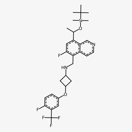 CC(O[Si](C)(C)C(C)(C)C)c1cc(F)c(CNC2CC(Oc3ccc(F)c(C(F)(F)F)c3)C2)c2ccncc12